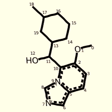 COc1ccc2cncn2c1C(O)C1CCCC(C)C1